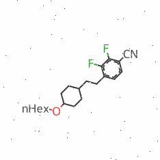 CCCCCCOC1CCC(CCc2ccc(C#N)c(F)c2F)CC1